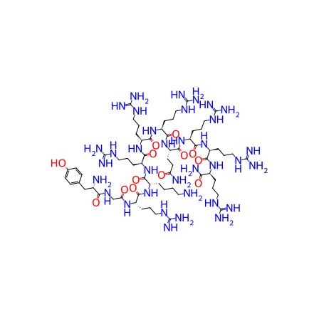 N=C(N)NCCC[C@H](NC(=O)[C@H](CCCNC(=N)N)NC(=O)[C@H](CCCNC(=N)N)NC(=O)[C@H](CCC(N)=O)NC(=O)[C@H](CCCNC(=N)N)NC(=O)[C@H](CCCNC(=N)N)NC(=O)[C@H](CCCNC(=N)N)NC(=O)[C@H](CCCCN)NC(=O)[C@H](CCCNC(=N)N)NC(=O)CNC(=O)[C@@H](N)Cc1ccc(O)cc1)C(N)=O